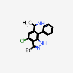 CCc1n[nH]c2c(-c3ccccc3)c(C(C)N)cc(Cl)c12